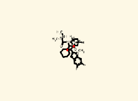 CN[C@@H](C)C(=O)NC(C(=O)N1[C@@H]2C[C@H]1CN(C(=O)c1cc3cc(F)c(F)cc3n1C)C2)C1CCCCC1